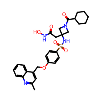 Cc1cc(COc2ccc(S(=O)(=O)NC3(CC(=O)NO)CN(C(=O)C4CCCCC4)C3)cc2)c2ccccc2n1